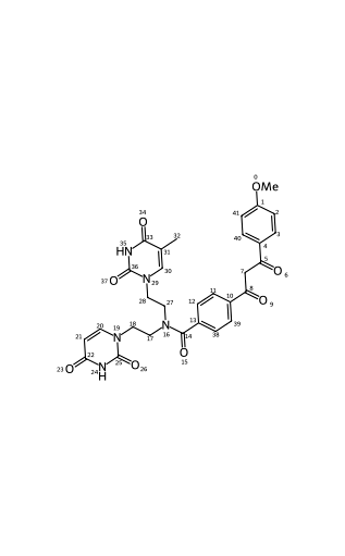 COc1ccc(C(=O)CC(=O)c2ccc(C(=O)N(CCn3ccc(=O)[nH]c3=O)CCn3cc(C)c(=O)[nH]c3=O)cc2)cc1